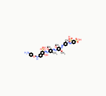 COc1cc(N=Nc2cc(OC)c(N=Nc3c(S(=O)(=O)O)cc4cc(NCOc5ccc(N)cc5)ccc4c3O)cc2C)c(OC)cc1N=Nc1ccc(N=Nc2ccc(S(=O)(=O)O)cc2S(=O)(=O)O)c(C)c1